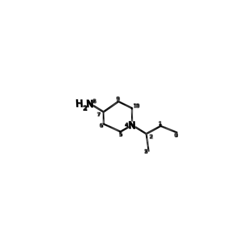 CCC(C)N1CCC(N)CC1